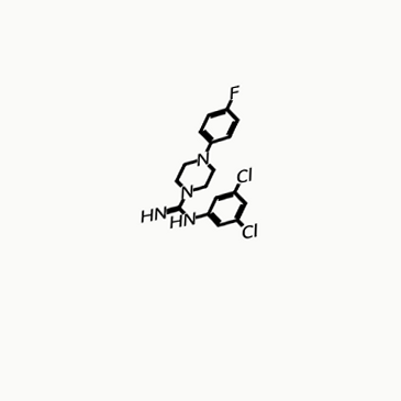 N=C(Nc1cc(Cl)cc(Cl)c1)N1CCN(c2ccc(F)cc2)CC1